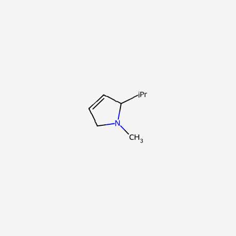 CC(C)C1C=CCN1C